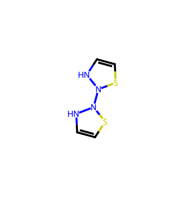 C1=CSN(N2NC=CS2)N1